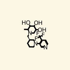 CC1C(O)C(O)C(O)CN1C[C@@H]1CCCN(c2cnccc2C(F)(F)F)C1